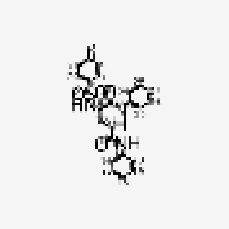 Cc1ccc(S(=O)(=O)NC(CCC(=O)Nc2ccccc2)C(=O)Nc2ccccc2)cc1